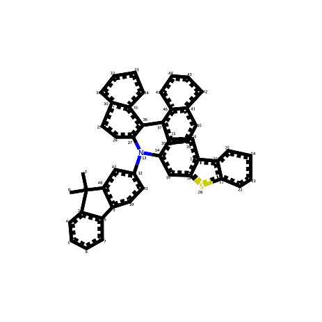 CC1(C)c2ccccc2-c2ccc(N(c3ccc4c(c3)sc3ccccc34)c3ccc4ccccc4c3-c3cccc4ccccc34)cc21